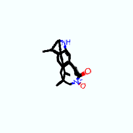 CC1C2CC3=C4C=C2NC1C(C)C(C)(C3)C[N+](=O)C(=O)C4